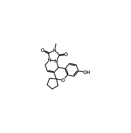 Cn1c(=O)n2n(c1=O)C1C(=CC2)C2(CCCC2)Oc2cc(O)ccc21